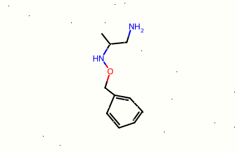 CC(CN)NOCc1ccccc1